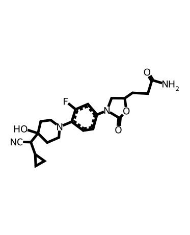 N#CC(C1CC1)C1(O)CCN(c2ccc(N3CC(CCC(N)=O)OC3=O)cc2F)CC1